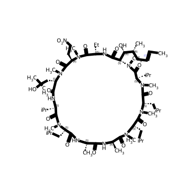 C/C=C/C[C@@H](C)[C@@H](O)[C@H]1C(=O)N[C@@H](CC)C(=O)N(C)[C@H](CC[N+](=O)[O-])C(=O)N(C)[C@@H](CC(C)(C)O)C(=O)N[C@@H](C(C)C)C(=O)N(C)[C@@H](CC(C)C)C(=O)N[C@@H](C)C(=O)N[C@H](C)C(=O)N(C)[C@@H](CC(C)C)C(=O)N(C)[C@@H](CC(C)C)C(=O)N(C)[C@@H](C(C)C)C(=O)N1C